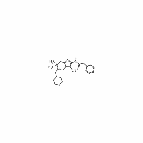 CC1(C)Cc2sc(NC(=O)Cc3ccccc3)c(C#N)c2CN1CC1CCCCC1